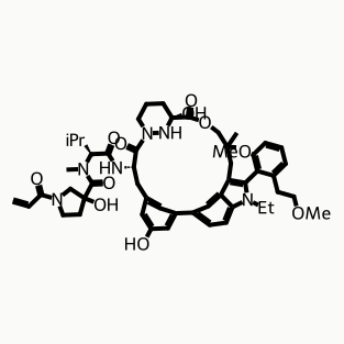 C=CC(=O)N1CCC(O)(C(=O)N(C)[C@H](C(=O)N[C@H]2Cc3cc(O)cc(c3)-c3ccc4c(c3)c(c(-c3c(CCOC)cccc3OC)n4CC)CC(C)(C)COC(=O)[C@@]3(O)CCCN(N3)C2=O)C(C)C)C1